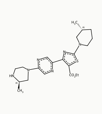 CCOC(=O)c1sc(N2CCC[C@@H](C)C2)nc1-c1cnc(N2CCN[C@H](C)C2)cn1